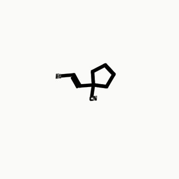 CCC=CC1(C#N)CCCC1